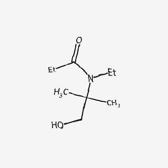 CCC(=O)N(CC)C(C)(C)CO